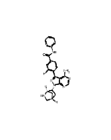 Nc1ncnc2c1c(-c1ccc(C(=O)Nc3ccccn3)cc1F)nn2[C@@H]1C[C@@H]2CN[C@@H]1C2